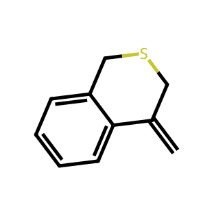 C=C1CSCc2ccccc21